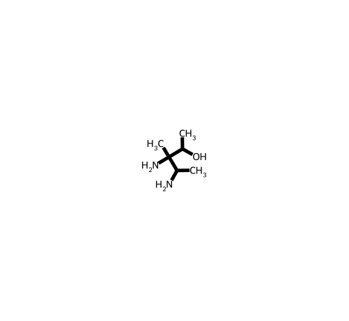 CC(N)C(C)(N)C(C)O